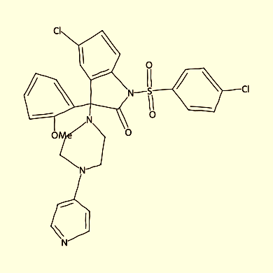 COc1ccccc1C1(N2CCN(c3ccncc3)CC2)C(=O)N(S(=O)(=O)c2ccc(Cl)cc2)c2ccc(Cl)cc21